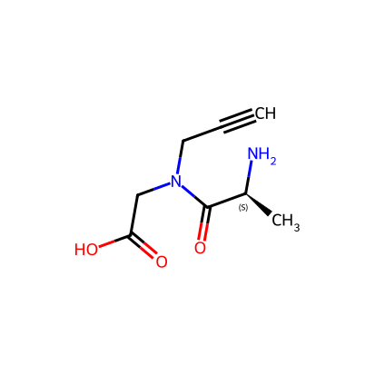 C#CCN(CC(=O)O)C(=O)[C@H](C)N